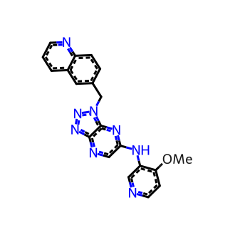 COc1ccncc1Nc1cnc2nnn(Cc3ccc4ncccc4c3)c2n1